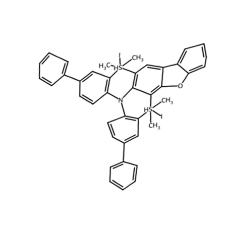 C[SH]1(C)(I)c2cc(-c3ccccc3)ccc2N2c3ccc(-c4ccccc4)cc3[SH](C)(C)(I)c3c2c1cc1c3oc2ccccc21